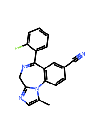 Cc1cnc2n1-c1ccc(C#N)cc1C(c1ccccc1F)=NC2